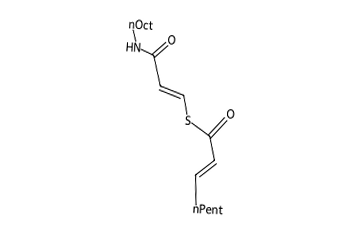 CCCCCC=CC(=O)SC=CC(=O)NCCCCCCCC